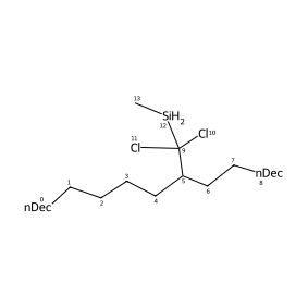 CCCCCCCCCCCCCCC(CCCCCCCCCCCC)C(Cl)(Cl)[SiH2]C